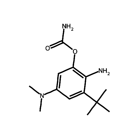 CN(C)c1cc(OC(N)=O)c(N)c(C(C)(C)C)c1